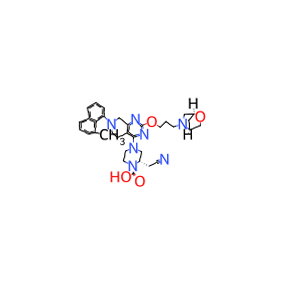 Cc1cccc2cccc(N3CCc4c(nc(OCCCN5C[C@@H]6C[C@H]5CO6)nc4N4CCN(C(=O)O)[C@@H](CC#N)C4)C3)c12